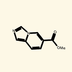 COC(=O)c1ccc2cncn2c1